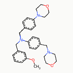 COc1cccc(CN(Cc2ccc(N3CCOCC3)cc2)c2ccc(CN3CCOCC3)cc2)c1